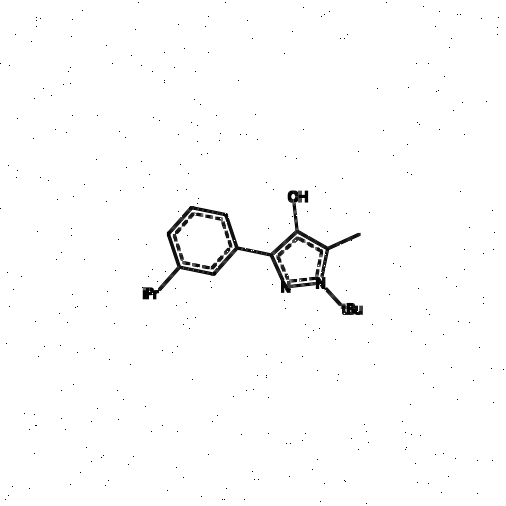 Cc1c(O)c(-c2cccc(C(C)C)c2)nn1C(C)(C)C